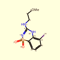 COCCNC1=NS(=O)(=O)c2cccc(I)c2N1